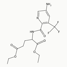 CCOC(=O)CCC(NC(=O)c1ncc(N)cc1C(F)(F)F)C(=O)OCC